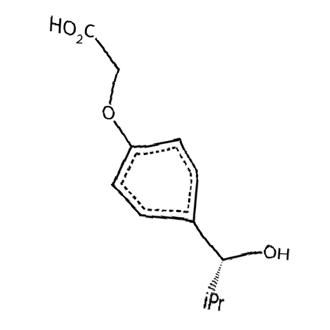 CC(C)[C@@H](O)c1ccc(OCC(=O)O)cc1